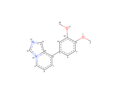 COc1ccc(-c2cccn3cncc23)cc1OC